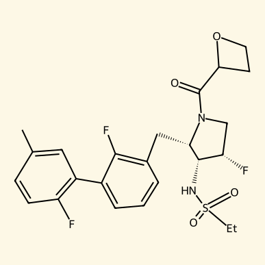 CCS(=O)(=O)N[C@H]1[C@@H](F)CN(C(=O)C2CCO2)[C@H]1Cc1cccc(-c2cc(C)ccc2F)c1F